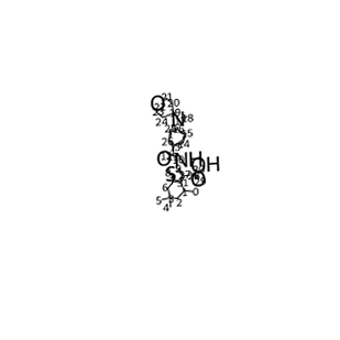 CC1CC(C)(C)Cc2sc(NC(=O)c3ccc(N(C)C4CCOCC4)cc3)c(C(=O)O)c21